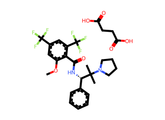 COc1cc(C(F)(F)F)cc(C(F)(F)F)c1C(=O)N[C@@H](c1ccccc1)C(C)(C)N1CCCC1.O=C(O)CCC(=O)O